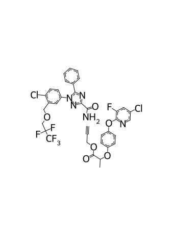 C#CCOC(=O)C(C)Oc1ccc(Oc2ncc(Cl)cc2F)cc1.NC(=O)c1nc(-c2ccccc2)n(-c2ccc(Cl)c(COCC(F)(F)C(F)(F)F)c2)n1